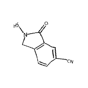 N#Cc1ccc2c(c1)C(=O)N(S)C2